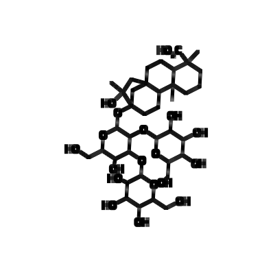 CC1(C(=O)O)CCCC2(C)C3CCC4(OC5OC(CO)C(O)C(OC6OC(CO)C(O)C(O)C6O)C5OC5OC(CO)C(O)C(O)C5O)CC3(CCC12)CC4(C)O